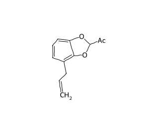 C=CCc1cccc2c1OC(C(C)=O)O2